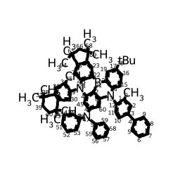 Cc1cc(-c2ccccc2)ccc1N1c2ccc(C(C)(C)C)cc2B2c3cc4c(cc3N(c3cc5c(cc3C)C(C)(C)CCC5(C)C)c3cc(N(c5ccccc5)c5ccccc5)cc1c32)C(C)(C)CC4(C)C